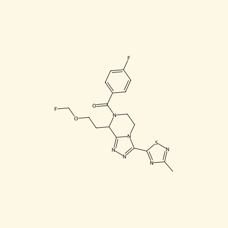 Cc1nsc(-c2nnc3n2CCN(C(=O)c2ccc(F)cc2)C3CCOCF)n1